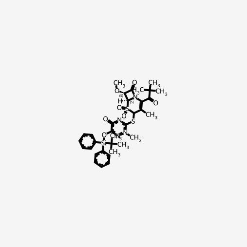 CO[C@H]1C(=O)N2C(C(=O)C(C)(C)C)=C(C)C(Sc3nc(=O)c(O[Si](c4ccccc4)(c4ccccc4)C(C)(C)C)nn3C)S(=O)(=O)[C@@H]12